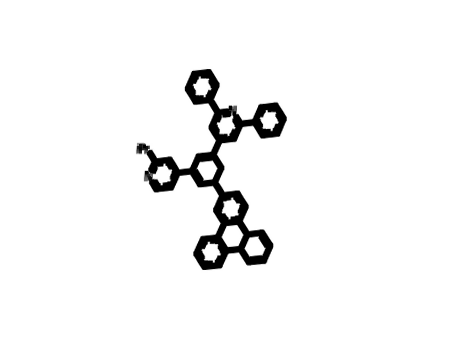 CC(C)c1cc(C2=CC(c3ccc4c(c3)-c3ccccc3C3C=CC=CC43)CC(c3cc(-c4ccccc4)nc(-c4ccccc4)c3)=C2)ccn1